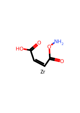 NOC(=O)/C=C\C(=O)O.[Zr]